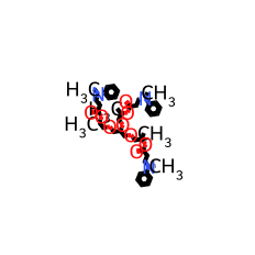 CC(COCC(COCC(C)OC(=O)CCN(C)c1ccccc1)OCC(C)OC(=O)CCN(C)c1ccccc1)OC(=O)CCN(C)c1ccccc1